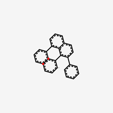 [c]1ccccc1-c1c(-c2ccccc2)ccc2cccc(-c3ccccc3)c12